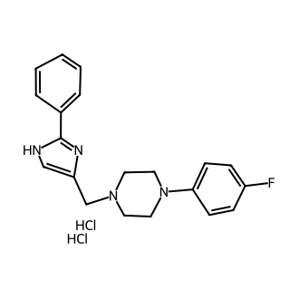 Cl.Cl.Fc1ccc(N2CCN(Cc3c[nH]c(-c4ccccc4)n3)CC2)cc1